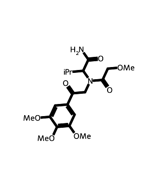 COCC(=O)N(CC(=O)c1cc(OC)c(OC)c(OC)c1)C(C(N)=O)C(C)C